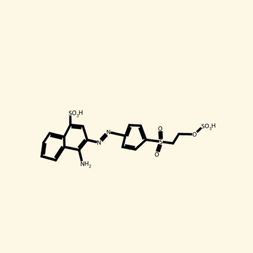 Nc1c(/N=N/c2ccc(S(=O)(=O)CCOS(=O)(=O)O)cc2)cc(S(=O)(=O)O)c2ccccc12